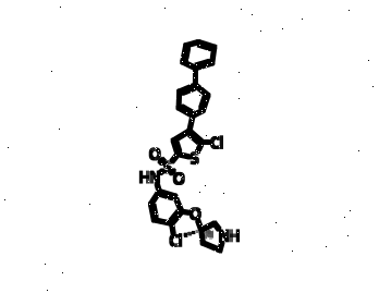 C[C@@]1(Oc2cc(NS(=O)(=O)c3cc(-c4ccc(-c5ccccc5)cc4)c(Cl)s3)ccc2Cl)CCNC1